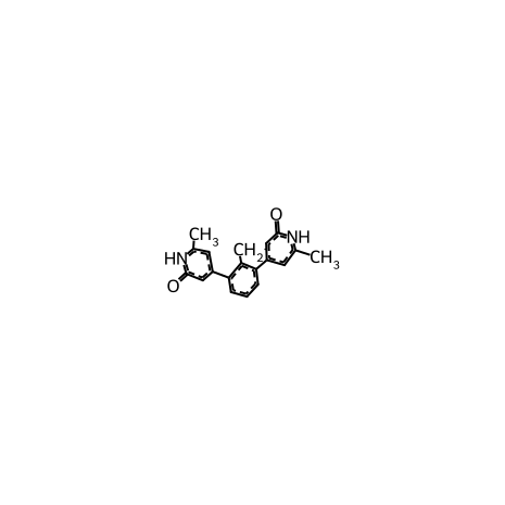 [CH2]c1c(-c2cc(C)[nH]c(=O)c2)cccc1-c1cc(C)[nH]c(=O)c1